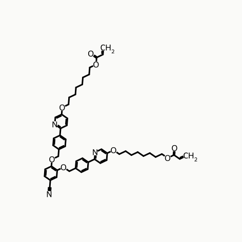 C=CC(=O)OCCCCCCCCOc1ccc(-c2ccc(COc3ccc(C#N)cc3OCc3ccc(-c4ccc(OCCCCCCCCOC(=O)C=C)cn4)cc3)cc2)nc1